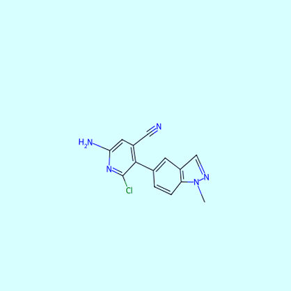 Cn1ncc2cc(-c3c(C#N)cc(N)nc3Cl)ccc21